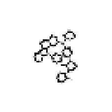 Cc1ccccc1-c1cccc(-c2ccc(N(c3ccccc3)c3ccc4ccc5c6ccccc6n(-c6ccccc6)c5c4c3)cc2)c1C